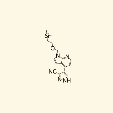 C[Si](C)(C)CCOCn1ccc2c(-c3c[nH]nc3C#N)ccnc21